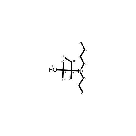 CCCCN(CCC)C(C)(CC)C(C)(C)O